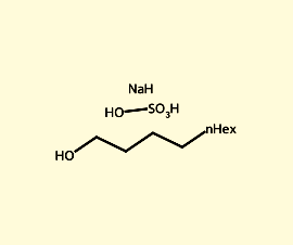 CCCCCCCCCCO.O=S(=O)(O)O.[NaH]